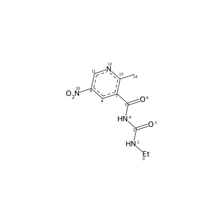 CCNC(=O)NC(=O)c1cc([N+](=O)[O-])cnc1C